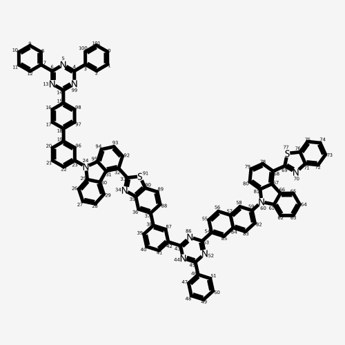 c1ccc(-c2nc(-c3ccccc3)nc(-c3ccc(-c4cccc(-n5c6ccccc6c6c(-c7nc8cc(-c9cccc(-c%10nc(-c%11ccccc%11)nc(-c%11ccc%12cc(-n%13c%14ccccc%14c%14c(-c%15nc%16ccccc%16s%15)cccc%14%13)ccc%12c%11)n%10)c9)ccc8s7)cccc65)c4)cc3)n2)cc1